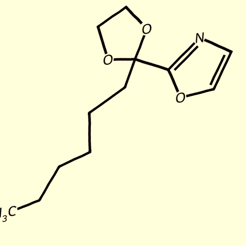 CCCCCCC1(c2ncco2)OCCO1